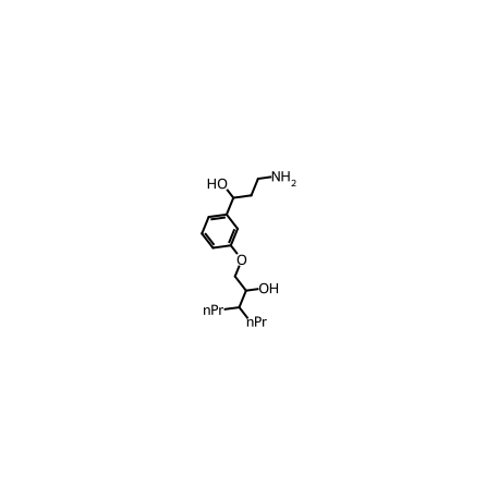 CCCC(CCC)C(O)COc1cccc(C(O)CCN)c1